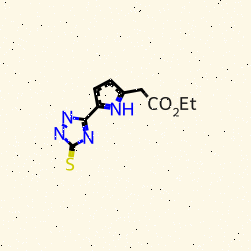 CCOC(=O)Cc1ccc(C2=NC(=S)N=N2)[nH]1